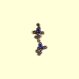 CC1(Cc2ccc(-c3ccc4nc(-n5c6ccc(-c7ccc8ccccc8c7)cc6c6cc7ccccc7cc65)c(-c5ccc(-c6ccccc6)cc5)nc4c3)cc2)c2ccccc2-c2c(-c3cccc4c3c3cc5ccccc5cc3n4-c3nc4ccc(-c5ccccc5)cc4nc3-c3ccc4ccccc4c3)cccc21